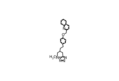 CCCC(CCc1ccc(OCc2ccc3ccccc3n2)cc1)Cc1nnn[nH]1